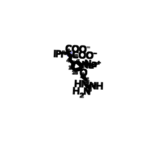 CC(C)/C(C(=O)[O-])=C(\Cc1ccc(OCCNC(=N)N)cc1)C(=O)[O-].[Na+].[Na+]